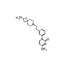 Nc1ccn(-c2cccc(CCN3CCC4(CC3)CC(N)C4)c2)c(=O)n1